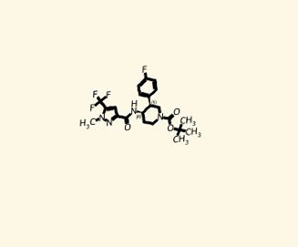 Cn1nc(C(=O)N[C@@H]2CCN(C(=O)OC(C)(C)C)C[C@@H]2c2ccc(F)cc2)cc1C(F)(F)F